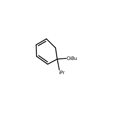 CC(C)COC1(C(C)C)C=CC=CC1